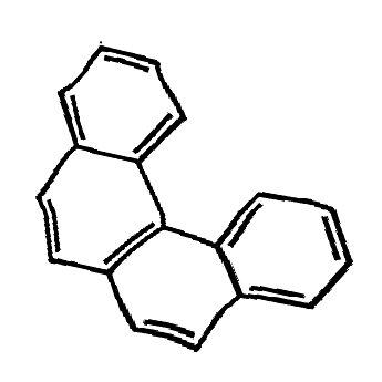 [c]1ccc2c(c1)ccc1ccc3ccccc3c12